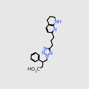 O=C(O)CC(Cn1nnc(CCCc2ccc3c(n2)NCCC3)n1)c1ccccc1